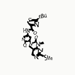 CSc1ncc2c(n1)N(C)C(=O)N(c1cc(NC(=O)c3csc(C(C)(C)C)n3)cnc1Cl)C2